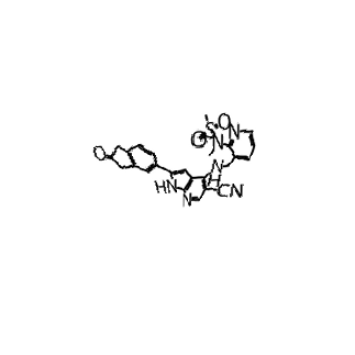 CN(c1ncccc1CNc1c(C#N)cnc2[nH]c(-c3ccc4c(c3)CC(=O)C4)cc12)S(C)(=O)=O